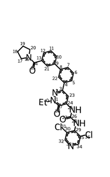 CCn1nc(-c2cccc(-c3cccc(C(=O)N4CCCC4)c3)c2)cc(NC(=O)Nc2c(Cl)cncc2Cl)c1=O